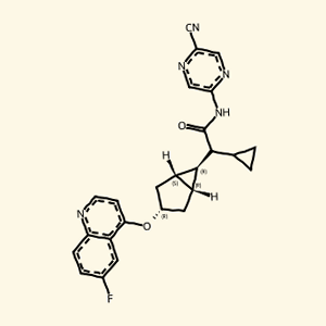 N#Cc1cnc(NC(=O)C(C2CC2)[C@H]2[C@@H]3C[C@H](Oc4ccnc5ccc(F)cc45)C[C@@H]32)cn1